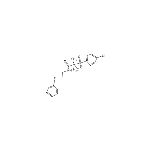 CC(C)(C(=O)NCCOc1ccccc1)S(=O)(=O)c1ccc(Cl)cc1